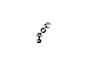 CC(C)(C)OC(=O)N1CCN(c2nc(-c3cccs3)ns2)CC1